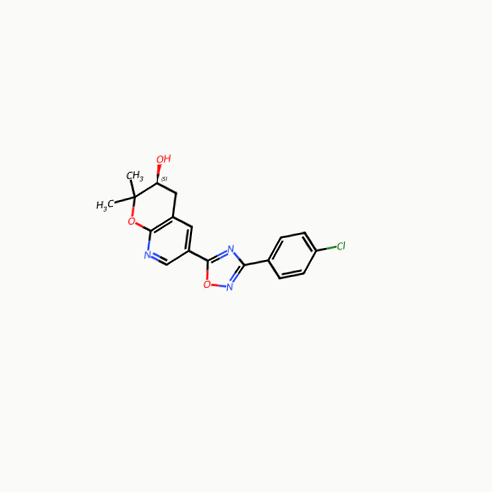 CC1(C)Oc2ncc(-c3nc(-c4ccc(Cl)cc4)no3)cc2C[C@@H]1O